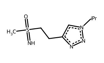 CC(C)n1cc(CCS(C)(=N)=O)nn1